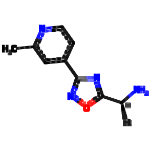 CC[C@H](N)c1nc(-c2ccnc(C)c2)no1